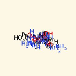 CC[C@H](C)[C@H](NC(=O)[C@H](CO)NC(=O)[C@@H](NC(=O)[C@@H]1CCCN1C(=O)[C@@H]1CCCN1C(=O)[C@@H](N)CCCCN)C(C)C)C(=O)N1CCC[C@H]1C(=O)N[C@@H](CCC(=O)O)C(=O)N[C@@H](CC(=O)O)C(=O)N[C@@H](CCCNC(=N)N)C(=O)N[C@@H](CC(C)C)C(=O)N[C@@H](C)C(=O)NCC(=O)N[C@@H](CC(C)C)C(=O)O